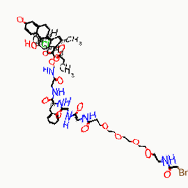 CCC(=O)O[C@]1(C(=O)COCNC(=O)CNC(=O)[C@H](Cc2ccccc2)NC(=O)CNC(=O)CNC(=O)CCOCCOCCOCCOCCNC(=O)CBr)[C@@H](C)CC2[C@@H]3CCC4=CC(=O)C=C[C@]4(C)[C@@]3(Cl)[C@@H](O)C[C@@]21C